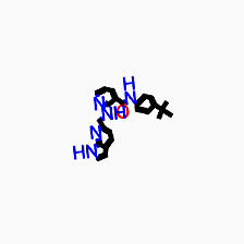 CC(C)(C)c1ccc(NC(=O)c2cccnc2NCc2ccc3cc[nH]c3n2)cc1